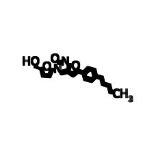 CCCCCc1ccc(-c2cc3cn([C@H]4CC[C@@H](CO)O4)c(=O)nc3o2)cc1